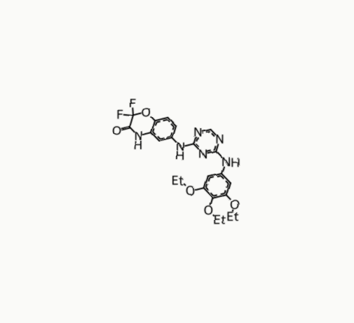 CCOc1cc(Nc2ncnc(Nc3ccc4c(c3)NC(=O)C(F)(F)O4)n2)cc(OCC)c1OCC